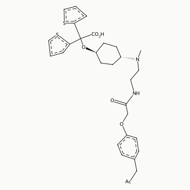 CC(=O)Cc1ccc(OCC(=O)NCCN(C)[C@H]2CC[C@H](OC(C(=O)O)(c3cccs3)c3cccs3)CC2)cc1